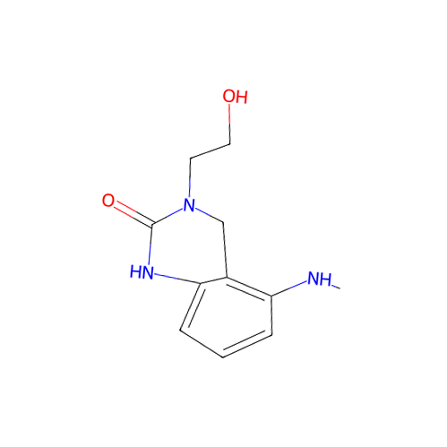 CNc1cccc2c1CN(CCO)C(=O)N2